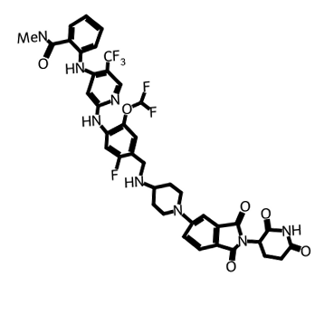 CNC(=O)c1ccccc1Nc1cc(Nc2cc(F)c(CNC3CCN(c4ccc5c(c4)C(=O)N(C4CCC(=O)NC4=O)C5=O)CC3)cc2OC(F)F)ncc1C(F)(F)F